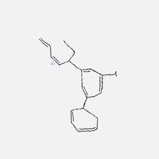 C=C/C=C\C(CC)c1cc(I)cc(C2C=CC=CC2)c1